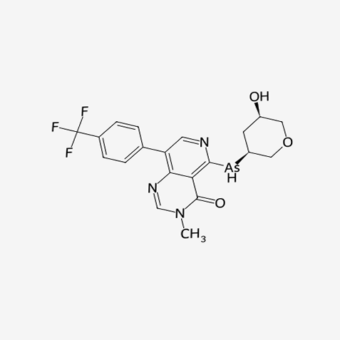 Cn1cnc2c(-c3ccc(C(F)(F)F)cc3)cnc([AsH][C@@H]3COC[C@H](O)C3)c2c1=O